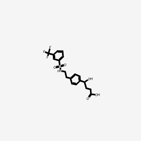 O=C(O)CCC(O)c1ccc(CCNS(=O)(=O)c2cccc(C(F)(F)F)c2)cc1